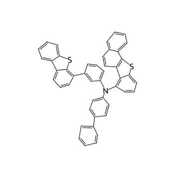 c1ccc(-c2ccc(N(c3cccc(-c4cccc5c4sc4ccccc45)c3)c3cccc4sc5c6ccccc6ccc5c34)cc2)cc1